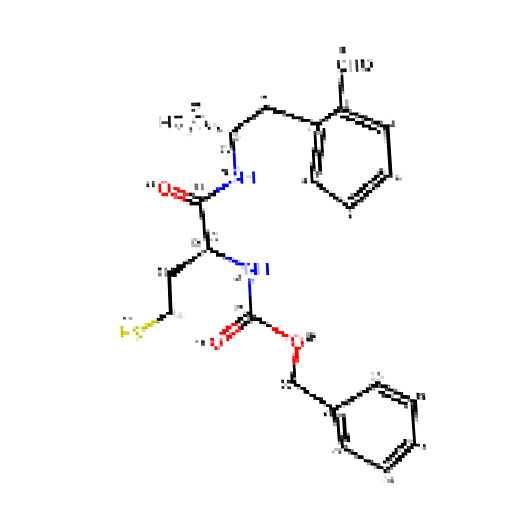 O=Cc1ccccc1C[C@H](NC(=O)[C@H](CCS)NC(=O)OCc1ccccc1)C(=O)O